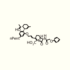 C=C(C)[C@@H]1CCC(C)=C[C@H]1c1c(O)cc(CCCCC)cc1OC/C=C/C1=C(C(=O)O)N2C(=O)[C@@H](NC(=O)COc3ccccc3)[C@H]2CC1